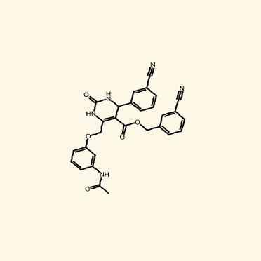 CC(=O)Nc1cccc(OCC2=C(C(=O)OCc3cccc(C#N)c3)C(c3cccc(C#N)c3)NC(=O)N2)c1